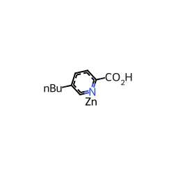 CCCCc1ccc(C(=O)O)nc1.[Zn]